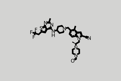 Cc1nc(NC2CCN(Cc3ccc4c(cc(C#N)n4C[C@H](C)N4CCN(C=O)CC4)c3C)CC2)c2cc(CC(F)(F)F)sc2n1